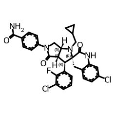 NC(=O)c1ccc(N2C[C@H]3[C@@H](C2=O)[C@H](c2cccc(Cl)c2F)[C@@]2(Cc4ccc(Cl)cc4NC2=O)N3CC2CC2)cc1